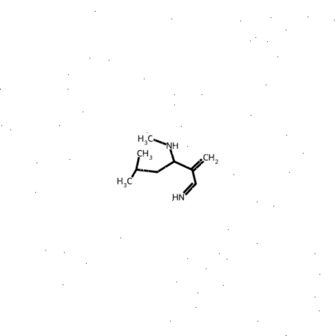 C=C(C=N)C(CC(C)C)NC